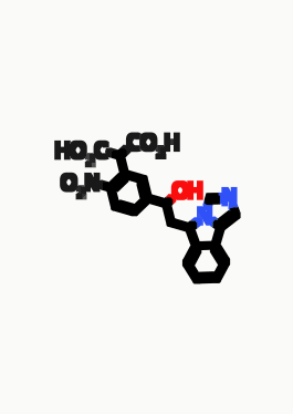 O=C(O)C(C(=O)O)c1cc(C(O)CC2c3ccccc3-c3cncn32)ccc1[N+](=O)[O-]